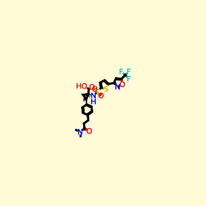 CN(C)C(=O)CCc1ccc([C@H]2C[C@@]2(NS(=O)(=O)c2ccc(-c3cc(C(F)(F)F)on3)s2)C(=O)O)cc1